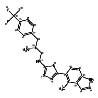 Cc1c(-c2nnc(NC[C@H](N)Cc3ccc(C(F)(F)F)cc3)s2)ccc2[nH]ncc12